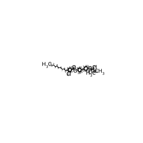 CCCCCCCCCCc1ccc(C(=O)Oc2ccc(-c3ccc(OC(=O)C(Cl)C(C)C)cc3)cc2)cc1Cl